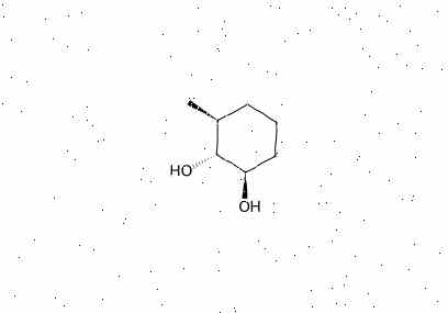 C[C@H]1CCC[C@@H](O)[C@@H]1O